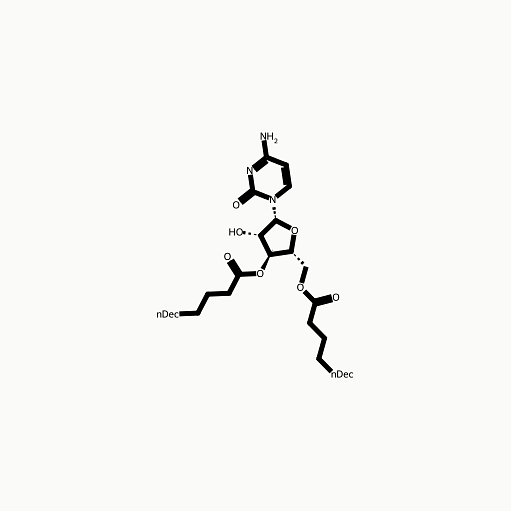 CCCCCCCCCCCCCC(=O)OC[C@H]1O[C@@H](n2ccc(N)nc2=O)[C@@H](O)[C@@H]1OC(=O)CCCCCCCCCCCCC